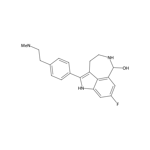 CNCCc1ccc(-c2[nH]c3cc(F)cc4c3c2CCNC4O)cc1